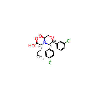 CCC[C@H](C(=O)O)N1C(=O)CO[C@@H](c2cccc(Cl)c2)[C@H]1c1ccc(Cl)cc1